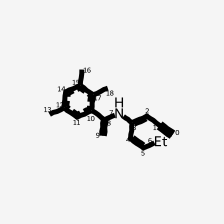 C#C/C=C(\C=C/CC)NC(=C)c1cc(C)cc(C)c1C